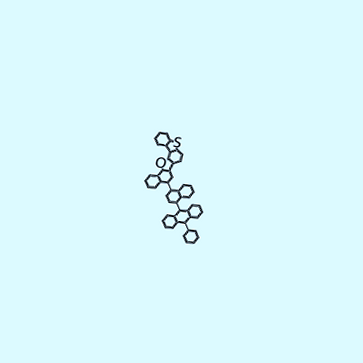 c1ccc(-c2c3ccccc3c(-c3ccc(-c4cc5c6ccc7sc8ccccc8c7c6oc5c5ccccc45)c4ccccc34)c3ccccc23)cc1